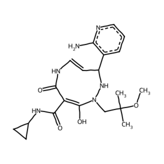 COC(C)(C)CN1NC(c2cccnc2N)/C=C/NC(=O)/C(C(=O)NC2CC2)=C\1O